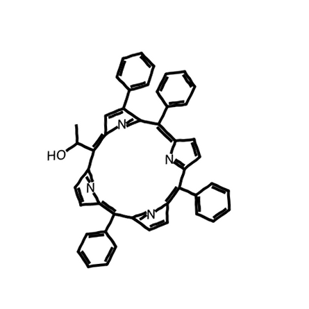 CC(O)C1=C2C=C(c3ccccc3)C(=N2)C(c2ccccc2)=C2C=CC(=N2)C(c2ccccc2)=C2C=CC(=N2)C(c2ccccc2)=C2C=CC1=N2